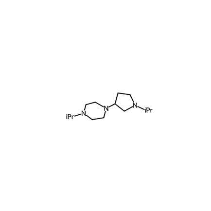 CC(C)N1CCN(C2CCN(C(C)C)C2)CC1